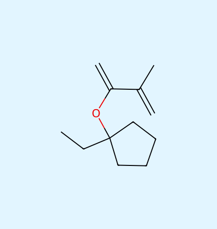 C=C(C)C(=C)OC1(CC)CCCC1